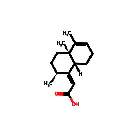 CC1=CCC[C@@H]2/C(=C/C(=O)O)[C@H](C)CC[C@@]12C